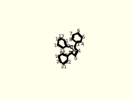 C1=CC(c2ccccc2)[Si](c2ccccc2)=C1c1ccccc1